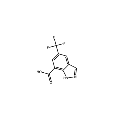 O=C(O)c1cc(C(F)(F)F)cc2cn[nH]c12